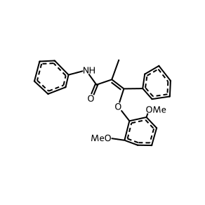 COc1cccc(OC)c1OC(=C(C)C(=O)Nc1ccccc1)c1ccccc1